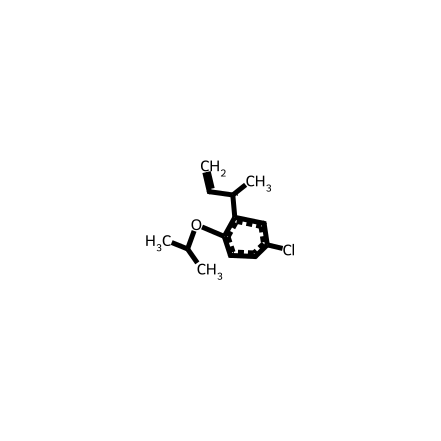 C=C[C](C)c1cc(Cl)ccc1OC(C)C